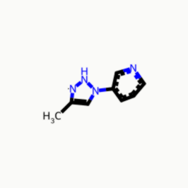 CC1=CN(c2cccnc2)N[N]1